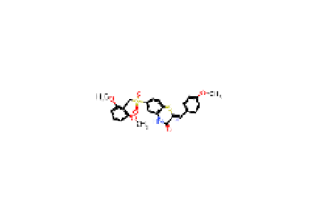 COc1ccc(/C=C2\Sc3ccc(S(=O)(=O)Cc4c(OC)cccc4OC)cc3NC2=O)cc1